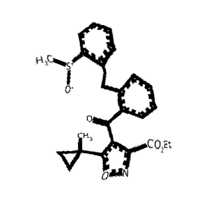 CCOC(=O)c1noc(C2(C)CC2)c1C(=O)c1ccccc1Cc1ccccc1[S+](C)[O-]